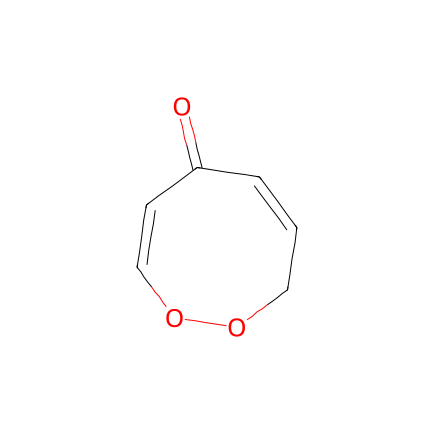 O=C1C=CCOOC=C1